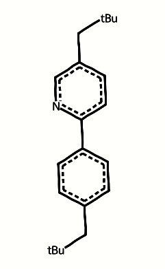 CC(C)(C)Cc1ccc(-c2ccc(CC(C)(C)C)cn2)cc1